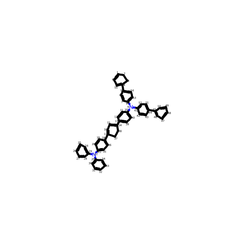 C1=CCCC(c2ccc(N(c3ccc(C4=CC=C(c5ccc(N(c6ccccc6)c6ccccc6)cc5)CC4)cc3)c3ccc(-c4ccccc4)cc3)cc2)=C1